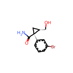 NC(=O)[C@@]1(c2cccc(Br)c2)C[C@@H]1CO